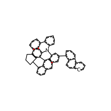 c1ccc(-c2ccccc2N(c2cccc(-c3cccc4c3ccc3ccccc34)c2)c2ccccc2-c2cccc3cccc(C4CCCCC4)c23)cc1